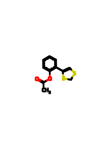 CC(=O)Oc1ccccc1C1=CSCS1